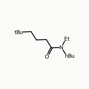 CCCCN(CC)C(=O)CCCC(C)(C)C